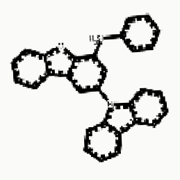 c1ccc([SiH2]c2cc(-n3c4ccccc4c4ccccc43)cc3c2oc2ccccc23)cc1